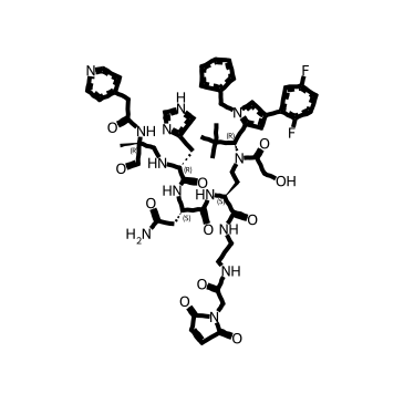 CC(C)(C)[C@H](c1cc(-c2cc(F)ccc2F)cn1Cc1ccccc1)N(CC[C@H](NC(=O)[C@H](CC(N)=O)NC(=O)[C@@H](Cc1c[nH]cn1)NC[C@](C)(C=O)NC(=O)Cc1ccncc1)C(=O)NCCNC(=O)CN1C(=O)C=CC1=O)C(=O)CO